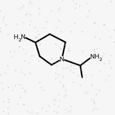 CC(N)N1CCC(N)CC1